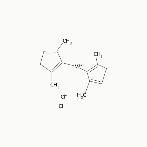 CC1=CCC(C)=[C]1[V+2][C]1=C(C)CC=C1C.[Cl-].[Cl-]